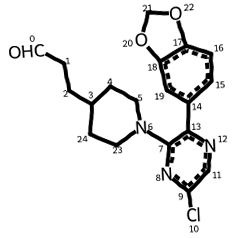 O=CCCC1CCN(c2nc(Cl)cnc2-c2ccc3c(c2)OCO3)CC1